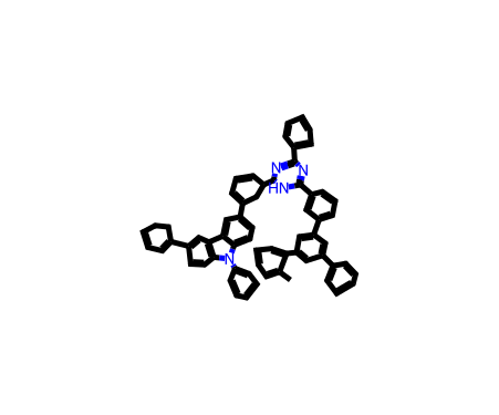 Cc1ccccc1-c1cc(-c2ccccc2)cc(-c2cccc(C3=NC(c4ccccc4)=NC(C4C=CC=C(c5ccc6c(c5)c5cc(C7=CC=CCC7)ccc5n6-c5ccccc5)C4)N3)c2)c1